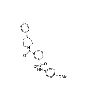 COc1ccc(NS(=O)(=O)c2cccc(C(=O)N3CCN(c4ccccc4)CC3)c2)cc1